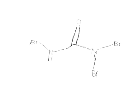 O=C(NBr)N(Br)Br